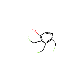 Oc1ccc(CF)c(CF)c1CF